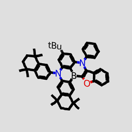 CC(C)(C)c1cc2c3c(c1)N(c1ccccc1)c1c(oc4ccccc14)B3c1cc3c(cc1N2c1ccc2c(c1)C(C)(C)CCC2(C)C)C(C)(C)CCC3(C)C